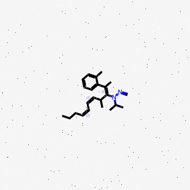 C=NN(/C(=C(\C)c1ccccc1C)C(C)/C=C\C=C/CCC)C(C)C